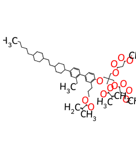 C=C(C)C(=O)OCCCc1cc(-c2ccc(C3CCC(CCC4CCC(CCCCC)CC4)CC3)cc2CC)ccc1OCC(COC(=O)CC(=O)OC)(COC(=O)CC(=O)OC)COC(=O)C(=C)C